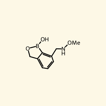 CONCc1cccc2c1B(O)OC2